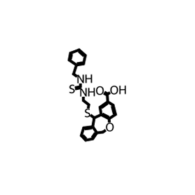 O=C(O)c1ccc2c(c1)C(SCCNC(=S)NCc1ccccc1)c1ccccc1CO2